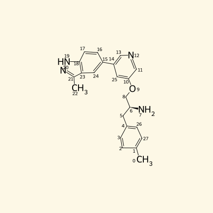 Cc1ccc(C[C@H](N)COc2cncc(-c3ccc4[nH]nc(C)c4c3)c2)cc1